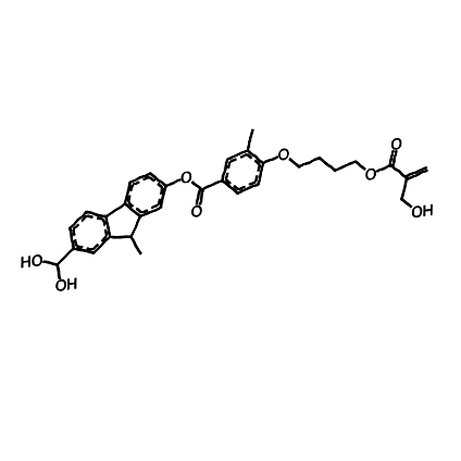 C=C(CO)C(=O)OCCCCOc1ccc(C(=O)Oc2ccc3c(c2)C(C)c2cc(C(O)O)ccc2-3)cc1C